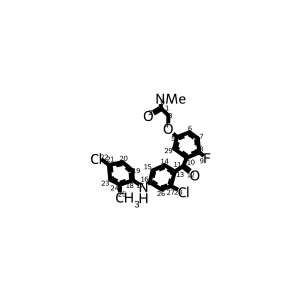 CNC(=O)COc1ccc(F)c(C(=O)c2ccc(Nc3ccc(Cl)cc3C)cc2Cl)c1